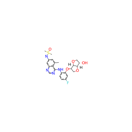 Cc1cc(N=S(C)(C)=O)cc2ncnc(Nc3ccc(F)cc3O[C@@H]3CO[C@H]4[C@@H]3OC[C@@H]4O)c12